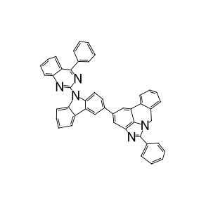 c1ccc(-c2nc(-n3c4ccccc4c4cc(-c5cc6c7c(c5)nc(-c5ccccc5)n7Cc5ccccc5-6)ccc43)nc3ccccc23)cc1